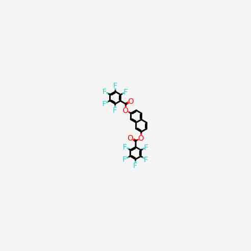 O=C(Oc1ccc2ccc(OC(=O)c3c(F)c(F)c(F)c(F)c3F)cc2c1)c1c(F)c(F)c(F)c(F)c1F